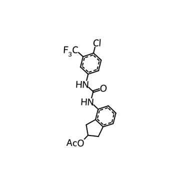 CC(=O)OC1Cc2cccc(NC(=O)Nc3ccc(Cl)c(C(F)(F)F)c3)c2C1